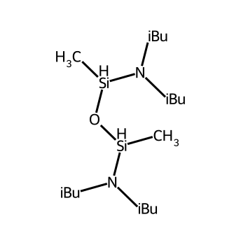 CCC(C)N(C(C)CC)[SiH](C)O[SiH](C)N(C(C)CC)C(C)CC